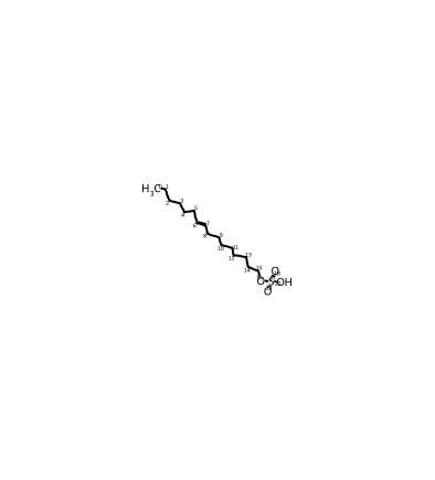 CCCCCCC=CCCCCCCCCOS(=O)(=O)O